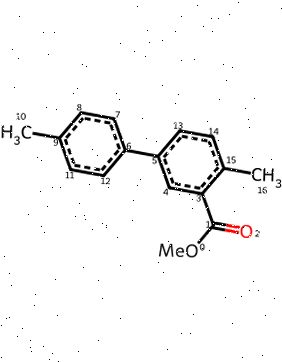 COC(=O)c1cc(-c2ccc(C)cc2)ccc1C